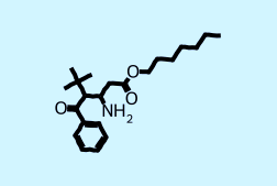 CCCCCCCOC(=O)CC(N)C(C(=O)c1ccccc1)C(C)(C)C